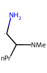 [CH2]CCC([CH]N)NC